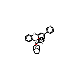 C1=C(c2cccnc2)C=C2Oc3ccccc3N(C3CC4CCC(C3)N4Cc3cccs3)C2C1